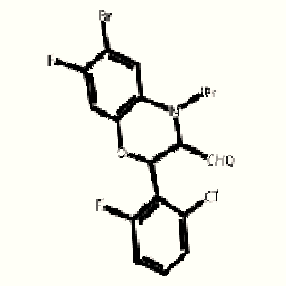 CC(C)N1c2cc(Br)c(F)cc2OC(c2c(F)cccc2Cl)C1C=O